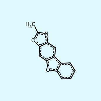 Cc1nc2cc3c(cc2o1)oc1ccccc13